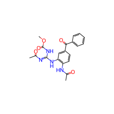 COC(=O)N/C(=N\C(C)=O)Nc1cc(C(=O)c2ccccc2)ccc1NC(C)=O